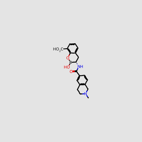 CN1CCc2cc(C(=O)N[C@H]3Cc4cccc(C(=O)O)c4OB3O)ccc2C1